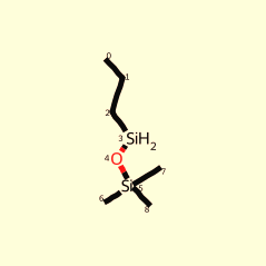 CC[CH][SiH2]O[Si](C)(C)C